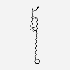 C#CCN(C)CCCCCCO[Si](C)(C)OC(CCCCCCCCCCCCCCC)OCCCCCCCCCCCC1CCCCC1